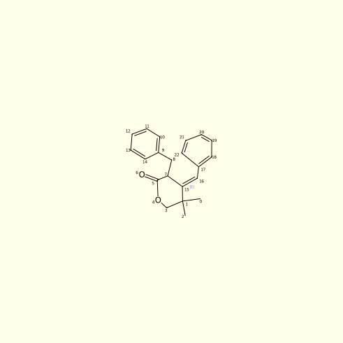 CC1(C)COC(=O)C(Cc2ccccc2)/C1=C\c1ccccc1